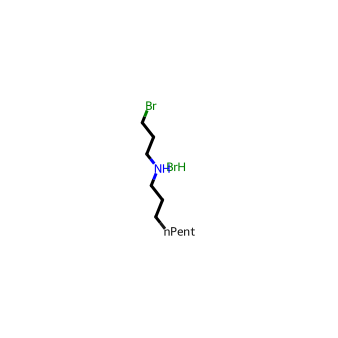 Br.CCCCCCCCNCCCBr